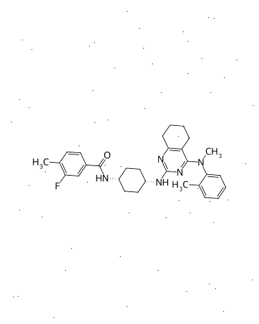 Cc1ccc(C(=O)N[C@H]2CC[C@@H](Nc3nc4c(c(N(C)c5ccccc5C)n3)CCCC4)CC2)cc1F